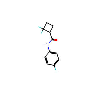 O=C(Nc1ccc(F)cc1)C1CCC1(F)F